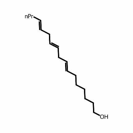 CCC/C=C/C/C=C/C/C=C/CCCCCCO